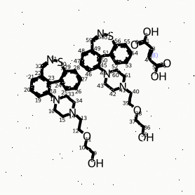 O=C(O)/C=C/C(=O)O.OCCOCCN1CCN(c2cccc3c2-c2ccccc2SN=C3)CC1.OCCOCCN1CCN(c2cccc3c2-c2ccccc2SN=C3)CC1